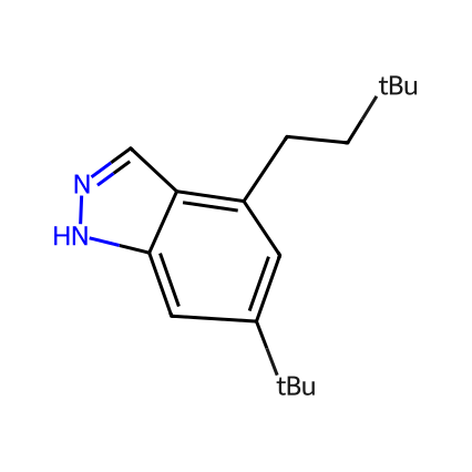 CC(C)(C)CCc1cc(C(C)(C)C)cc2[nH]ncc12